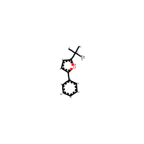 CCC(C)(C)c1ccc(-c2ccccc2)o1